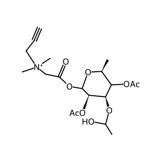 C#CC[N+](C)(C)CC(=O)OC1O[C@@H](C)C(OC(C)=O)[C@@H](OC(C)O)[C@H]1OC(C)=O